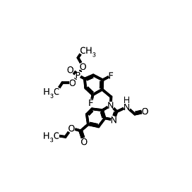 CCOC(=O)c1ccc2c(c1)nc(NC=O)n2Cc1c(F)cc(P(=O)(OCC)OCC)cc1F